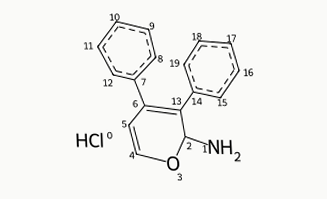 Cl.NC1OC=CC(c2ccccc2)=C1c1ccccc1